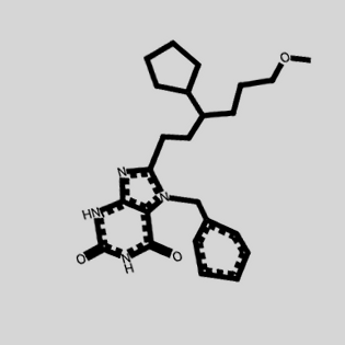 COCCCC(CCc1nc2[nH]c(=O)[nH]c(=O)c2n1Cc1ccccc1)C1CCCC1